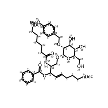 CCCCCCCCCCCCCC=CC(OC(=O)c1ccccc1)C(CO[C@H]1O[C@H](CO)[C@H](O)[C@H](O)[C@H]1OCc1ccc(OC)cc1)NC(=O)CCCCCCCCCCCCCCC